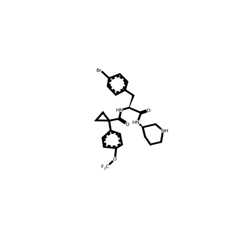 O=C(N[C@@H]1CCCNC1)[C@H](Cc1ccc(Br)cc1)NC(=O)C1(c2ccc(OC(F)(F)F)cc2)CC1